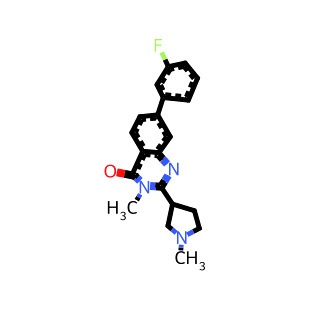 CN1CCC(c2nc3cc(-c4cccc(F)c4)ccc3c(=O)n2C)C1